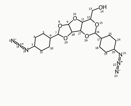 [N-]=[N+]=NC1CCC(C2OC3OC4C(CO)OC(C5CCC(N=[N+]=[N-])CC5)OC4C3O2)CC1